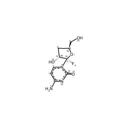 Nc1ccn([C@]2(F)O[C@H](CO)C[C@H]2O)c(=O)n1